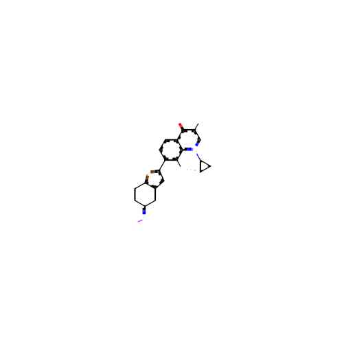 COc1c(-c2cc3c(s2)CC/C(=N\O)C3)ccc2c(=O)c(C(=O)O)cn(C3CC3)c12